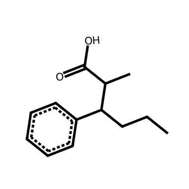 CCCC(c1ccccc1)C(C)C(=O)O